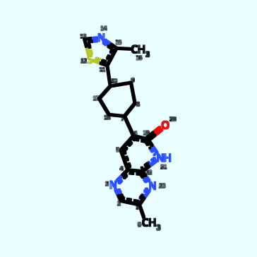 Cc1cnc2cc(C3CCC(c4scnc4C)CC3)c(=O)[nH]c2n1